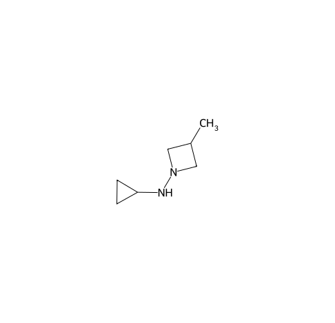 CC1CN(NC2CC2)C1